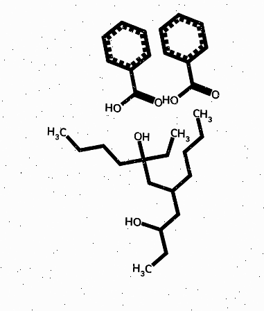 CCCCC(CC(O)CC)CC(O)(CC)CCCC.O=C(O)c1ccccc1.O=C(O)c1ccccc1